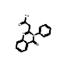 O=C(O)Cc1nc2ccccc2c(=O)n1-c1ccccc1